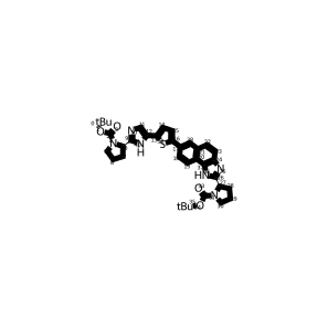 CC(C)(C)OC(=O)N1CCC[C@H]1c1ncc(-c2ccc(-c3ccc4c(ccc5nc([C@@H]6CCCN6C(=O)OC(C)(C)C)[nH]c54)c3)s2)[nH]1